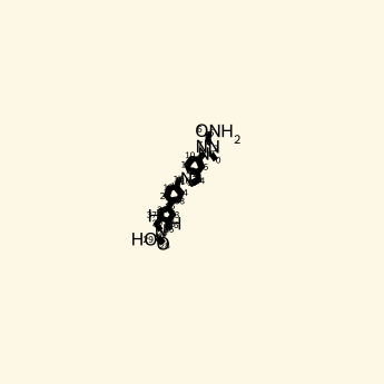 Cc1nc(C(N)=O)nn1-c1ccc2c(ccn2Cc2ccc(C3C[C@@H]4CN(C(=O)O)C[C@@H]4C3)cc2)c1